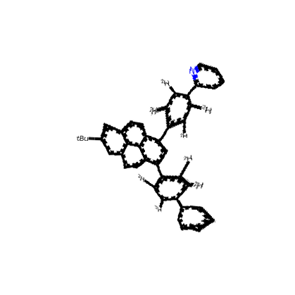 [2H]c1c([2H])c(-c2cc(-c3c([2H])c([2H])c(-c4ccccn4)c([2H])c3[2H])c3ccc4cc(C(C)(C)C)cc5ccc2c3c54)c([2H])c([2H])c1-c1ccccc1